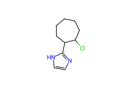 ClC1CCCCCC1c1ncc[nH]1